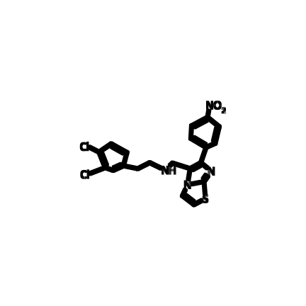 O=[N+]([O-])c1ccc(-c2nc3sccn3c2CNCCc2ccc(Cl)c(Cl)c2)cc1